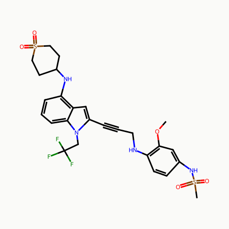 COc1cc(NS(C)(=O)=O)ccc1NCC#Cc1cc2c(NC3CCS(=O)(=O)CC3)cccc2n1CC(F)(F)F